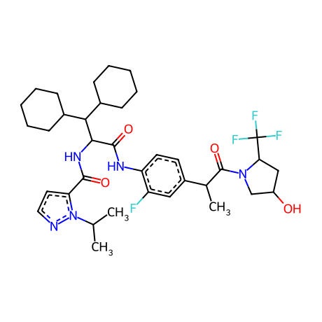 CC(C(=O)N1CC(O)CC1C(F)(F)F)c1ccc(NC(=O)C(NC(=O)c2ccnn2C(C)C)C(C2CCCCC2)C2CCCCC2)c(F)c1